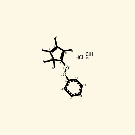 CC1=C(C)C(C)(C)[C]([Zr][O]c2ccccc2)=C1C.Cl.Cl